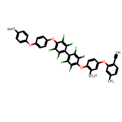 C#Cc1ccc(C)cc1Oc1ccc(Oc2c(F)c(F)c(-c3c(F)c(F)c(Oc4ccc(Oc5ccc(OC)cc5)cc4)c(F)c3F)c(F)c2F)c(S(=O)(=O)O)c1